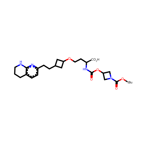 CC(C)(C)OC(=O)N1CC(OC(=O)NC(CCOC2CC(CCc3ccc4c(n3)NCCC4)C2)C(=O)O)C1